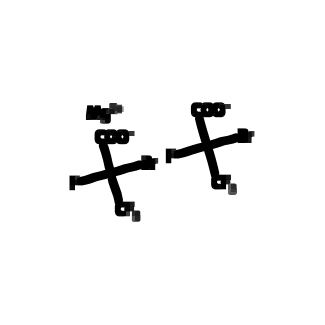 O=C([O-])C(F)(Br)C(F)(F)F.O=C([O-])C(F)(Br)C(F)(F)F.[Mg+2]